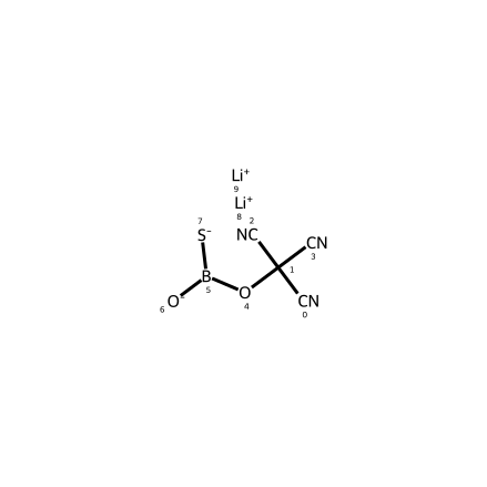 N#CC(C#N)(C#N)OB([O-])[S-].[Li+].[Li+]